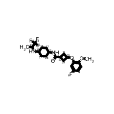 COc1ccc(F)cc1OC1CC(C(=O)NC2CCC(NC(C)C(F)(F)F)CC2)C1